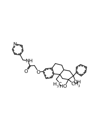 CCC12CC(C)(O)C(O)(c3ccccc3)CC1CCc1cc(OCC(=O)NCc3ccncc3)ccc12